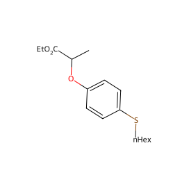 CCCCCCSc1ccc(OC(C)C(=O)OCC)cc1